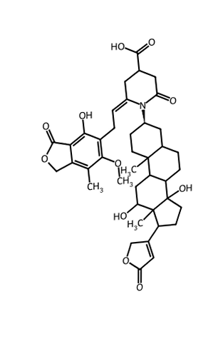 COc1c(C)c2c(c(O)c1C/C=C1/CC(C(=O)O)CC(=O)N1[C@@H]1CCC3(C)C(CCC4C3CC(O)C3(C)C(C5=CC(=O)OC5)CCC43O)C1)C(=O)OC2